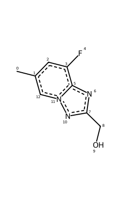 Cc1cc(F)c2nc(CO)nn2c1